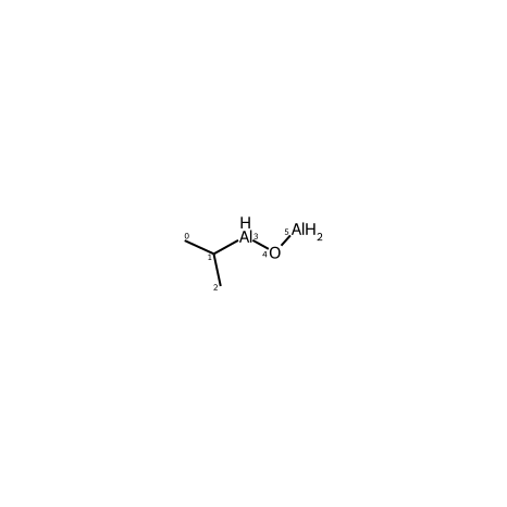 C[CH](C)[AlH][O][AlH2]